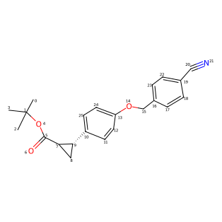 CC(C)(C)OC(=O)[C]1C[C@H]1c1ccc(OCc2ccc(C#N)cc2)cc1